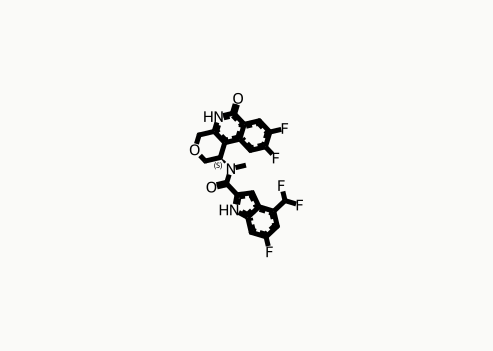 CN(C(=O)c1cc2c(C(F)F)cc(F)cc2[nH]1)[C@@H]1COCc2[nH]c(=O)c3cc(F)c(F)cc3c21